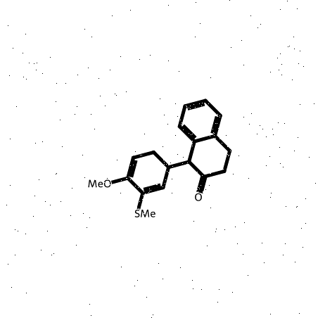 COC1=CCC(C2C(=O)CCc3ccccc32)C=C1SC